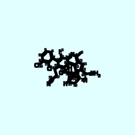 Cc1nc2c(F)c(-c3cccc(Cl)c3Cl)c(CCC#N)cc2c2c1cc([C@@H](C)N)n2[C@H]1[C@@H]2C[C@H]1N(C(=O)O)C2